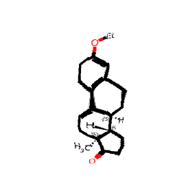 CCOC1=CC2=C(CC1)C1=CC[C@]3(C)C(=O)CC[C@H]3[C@@H]1CC2